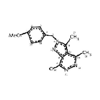 COc1ccc(Cn2nc3c(Cl)nnc(C)c3c2C)cc1